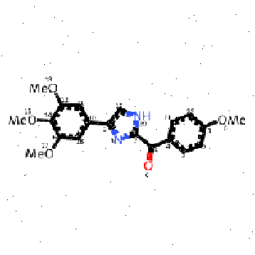 COc1ccc(C(=O)c2nc(-c3cc(OC)c(OC)c(OC)c3)c[nH]2)cc1